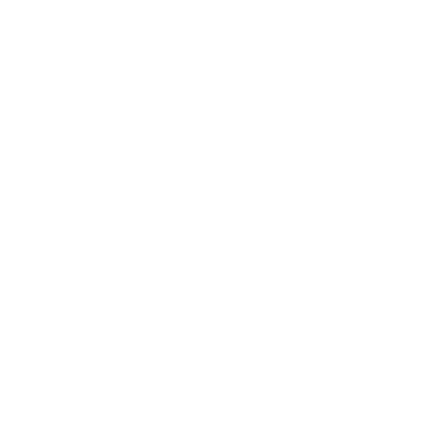 CC(C)=Cc1cccc(-c2ccccc2)c1